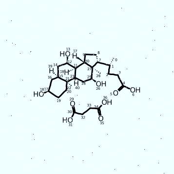 C[C@H](CCC(=O)O)[C@H]1CC[C@H]2[C@@H]3[C@H](O)C[C@@H]4C[C@H](O)CC[C@]4(C)[C@H]3C[C@H](O)[C@]12C.O=C(O)CCC(=O)O